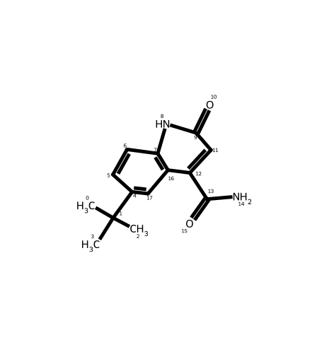 CC(C)(C)c1ccc2[nH]c(=O)cc(C(N)=O)c2c1